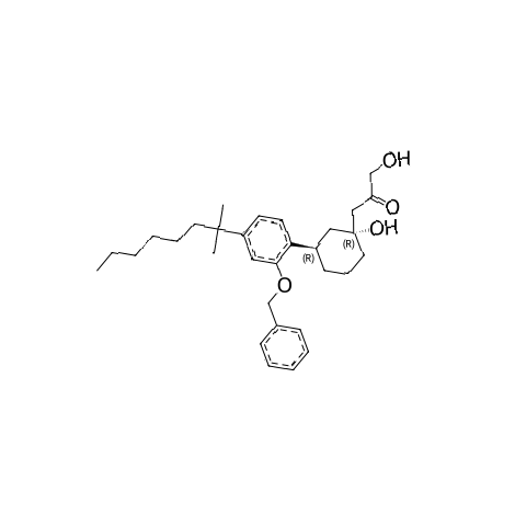 CCCCCCC(C)(C)c1ccc([C@@H]2CCC[C@](O)(CC(=O)CO)C2)c(OCc2ccccc2)c1